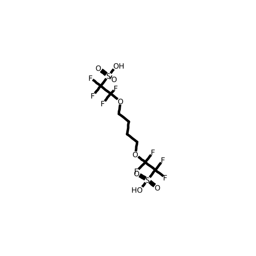 O=S(=O)(O)C(F)(F)C(F)(F)OCCCCOC(F)(F)C(F)(F)S(=O)(=O)O